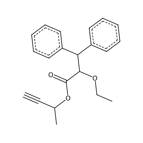 C#CC(C)OC(=O)C(OCC)C(c1ccccc1)c1ccccc1